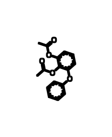 CC(=O)Oc1cccc(Oc2ccccc2)c1OC(C)=O